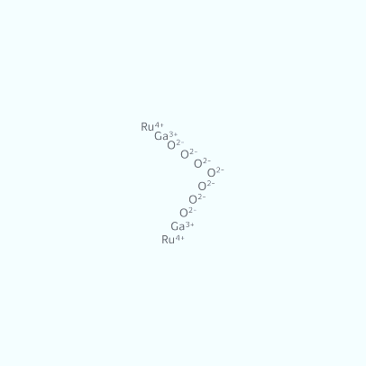 [Ga+3].[Ga+3].[O-2].[O-2].[O-2].[O-2].[O-2].[O-2].[O-2].[Ru+4].[Ru+4]